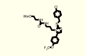 COCCNC(=O)NCCCn1c(-c2ccc(OC(F)(F)F)cc2)cs/c1=N\Cc1ccc(Cl)cc1